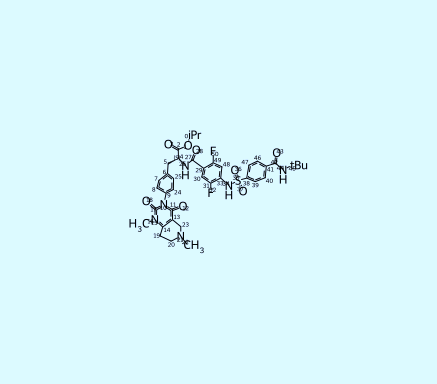 CC(C)OC(=O)[C@H](Cc1ccc(-n2c(=O)c3c(n(C)c2=O)CCN(C)C3)cc1)NC(=O)c1cc(F)c(NS(=O)(=O)c2ccc(C(=O)NC(C)(C)C)cc2)cc1F